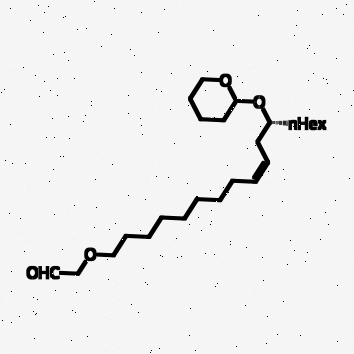 CCCCCC[C@H](C/C=C\CCCCCCCCOCC=O)OC1CCCCO1